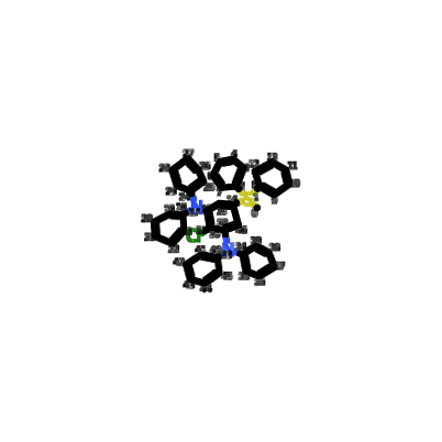 CS(c1ccccc1)(c1ccccc1)c1cc(N(c2ccccc2)c2ccccc2)c(Cl)c(N(c2ccccc2)c2ccccc2)c1